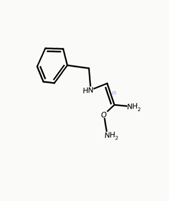 NO/C(N)=C\NCc1ccccc1